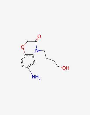 Nc1ccc2c(c1)N(CCCCO)C(=O)CO2